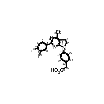 CCc1nc(-c2ccc(F)c(F)c2)nc2c1CCN2c1ccc(CC(=O)O)cc1